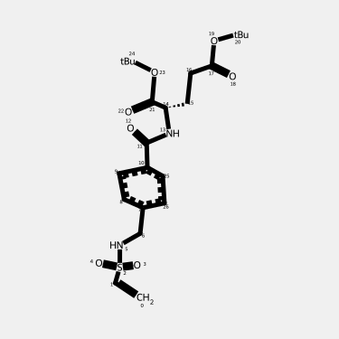 C=CS(=O)(=O)NCc1ccc(C(=O)N[C@@H](CCC(=O)OC(C)(C)C)C(=O)OC(C)(C)C)cc1